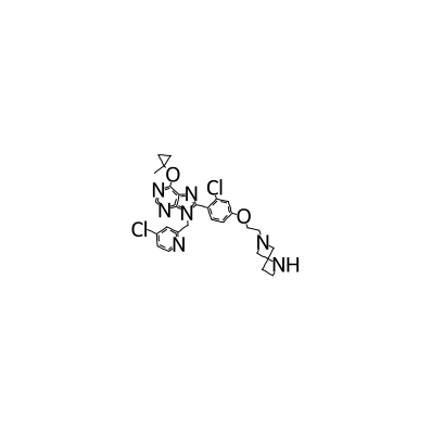 CC1(Oc2ncnc3c2nc(-c2ccc(OCCN4CC5(CCN5)C4)cc2Cl)n3Cc2cc(Cl)ccn2)CC1